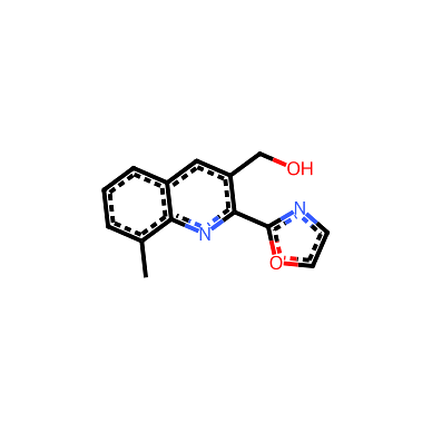 Cc1cccc2cc(CO)c(-c3ncco3)nc12